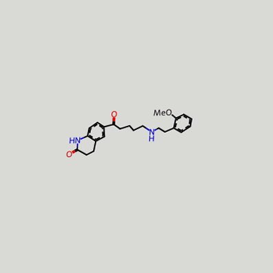 COc1ccccc1CCNCCCCC(=O)c1ccc2c(c1)CCC(=O)N2